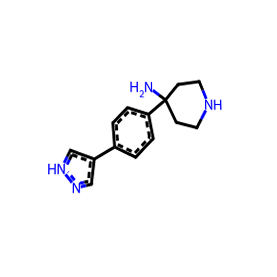 NC1(c2ccc(-c3cn[nH]c3)cc2)CCNCC1